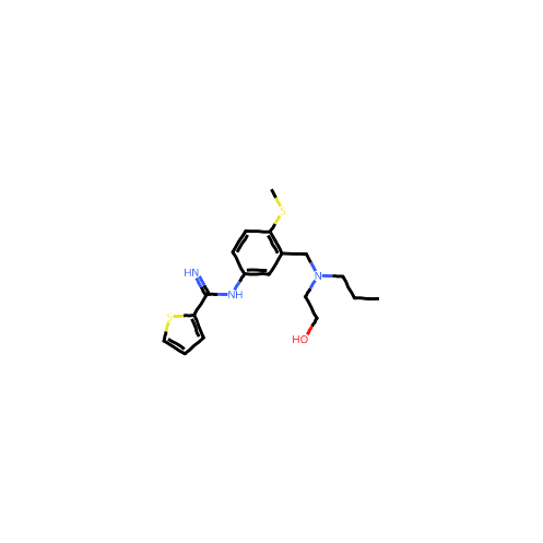 CCCN(CCO)Cc1cc(NC(=N)c2cccs2)ccc1SC